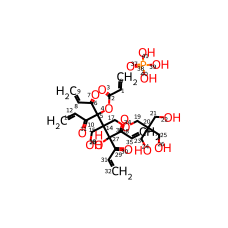 C=CC(=O)OC(C(=O)C=C)(C(=O)C=C)C(CO)(COCC(CO)(CO)CO)C(O)(C(=O)C=C)C(=O)C=C.O=P(O)(O)O